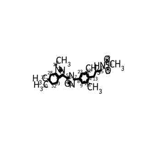 CCn1nc(-c2nc(-c3cc(C)c(CCCNS(C)(=O)=O)c(C)c3)no2)c2c1CC(C)(C)CC2